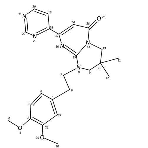 COc1ccc(CCN2CC(C)(C)Cn3c2nc(-c2ccncn2)cc3=O)cc1OC